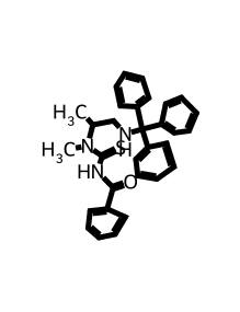 CC(CNC(c1ccccc1)(c1ccccc1)c1ccccc1)N(C)C(=S)NC(=O)c1ccccc1